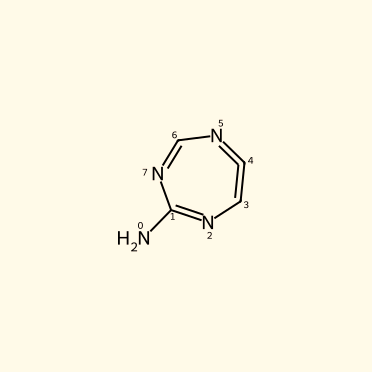 NC1=NC=C=NC=N1